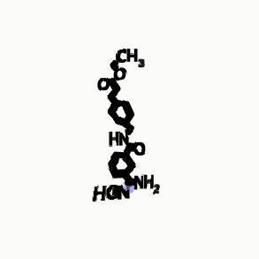 CCOC(=O)CCc1ccc(CNC(=O)c2cccc(/C(N)=N\O)c2)cc1